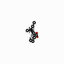 c1ccc(-c2ccc(-c3nc(-c4ccccc4)nc(-c4ccc5c(c4)Oc4cc(-c6cccc7cccnc67)ccc4C54c5ccccc5-c5ccccc54)n3)cc2)cc1